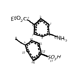 CCOC(=O)c1ccc(N)cc1.Cc1ccc(S(=O)(=O)O)cc1